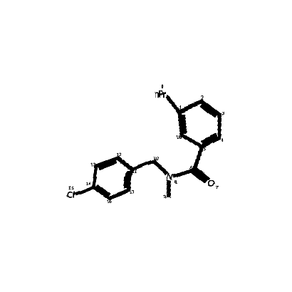 CCCc1cccc(C(=O)N(C)Cc2ccc(Cl)cc2)c1